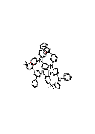 CC(C)(C)c1ccc(N(c2ccc(C(C)(C)C)cc2)c2cc3c4c(c2)N(c2cc(-c5ccccc5)cc(-c5ccccc5)c2)c2ccc(C(C)(C)C)cc2B4c2cc(N(c4ccccc4)c4ccccc4)ccc2N3c2cccc(-c3cc4ccccc4o3)c2)cc1